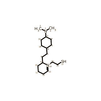 CN(C)C1CCC(CCC2CCCC=[N+]2CCS)CC1